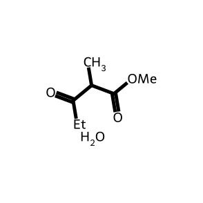 CCC(=O)C(C)C(=O)OC.O